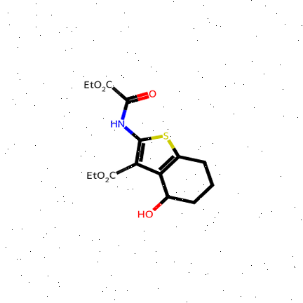 CCOC(=O)C(=O)Nc1sc2c(c1C(=O)OCC)C(O)CCC2